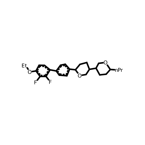 CCCC1CCC(C2CCC(c3ccc(-c4ccc(OCC)c(F)c4F)cc3)OC2)CO1